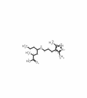 CCCC(CC(C)C(=O)O)OCCCc1c(C)n[nH]c1C